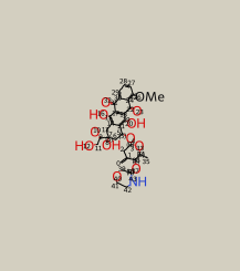 C=C1C[C@H](O[C@H]2C[C@](O)(C(=O)CO)Cc3c(O)c4c(c(O)c32)C(=O)c2c(OC)cccc2C4=O)O[C@@H](C)[C@H]1O[C@@H]1COCCN1